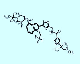 COCC(C)(C)n1cc(C(=O)NCc2nc(-c3cc4c(N[C@@H]5CCN(C(C)(C)C)C[C@@H]5F)cccc4n3CC(F)(F)F)no2)cn1